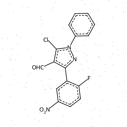 O=Cc1c(-c2cc([N+](=O)[O-])ccc2F)nn(-c2ccccc2)c1Cl